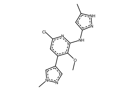 COc1c(-c2cnn(C)c2)cc(Cl)nc1Nc1cc(C)[nH]n1